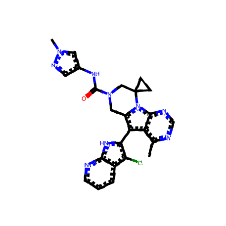 Cc1ncnc2c1c(-c1[nH]c3ncccc3c1Cl)c1n2C2(CC2)CN(C(=O)Nc2cnn(C)c2)C1